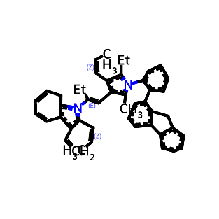 C=Cc1c2c(n(/C(=C/c3c(/C=C\C)c(CC)n(-c4ccccc4-c4cccc5c4Cc4ccccc4-5)c3C)CC)c1/C=C\C)CC=CC=C2